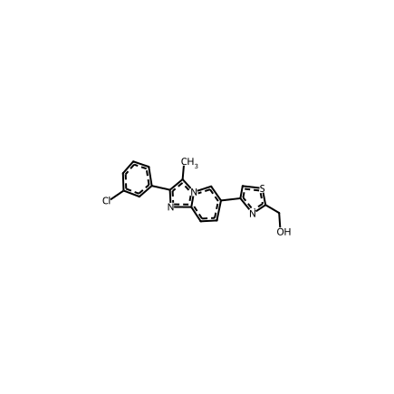 Cc1c(-c2cccc(Cl)c2)nc2ccc(-c3csc(CO)n3)cn12